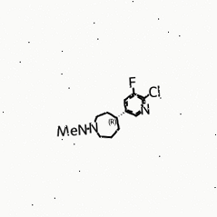 CNN1CCC[C@@H](c2cnc(Cl)c(F)c2)CC1